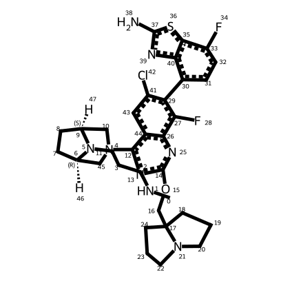 CNCCCN1[C@@H]2CC[C@H]1CN(c1nc(OCC34CCCN3CCC4)nc3c(F)c(-c4ccc(F)c5sc(N)nc45)c(Cl)cc13)C2